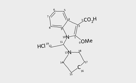 COc1c(C(=O)O)c2ccccc2n1C(C)N1CCCCC1.Cl